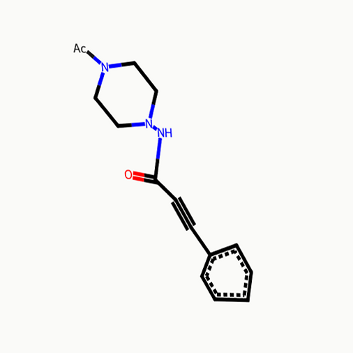 CC(=O)N1CCN(NC(=O)C#Cc2ccccc2)CC1